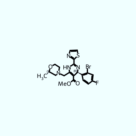 COC(=O)C1=C(CN2CCO[C@@H](C)C2)NC(c2nccs2)=N[C@H]1c1ccc(F)cc1Br